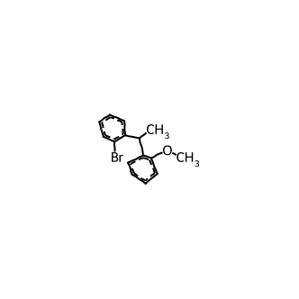 COc1ccccc1C(C)c1ccccc1Br